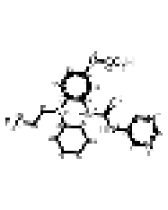 O=C(Nc1cncnc1)Nc1cc(OC(=O)O)ccc1N(CCC(F)(F)F)C1CCCCC1